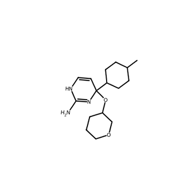 CC1CCC(C2(OC3CCCOC3)C=CNC(N)=N2)CC1